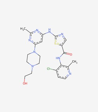 Cc1nc(Nc2ncc(C(=O)Nc3c(Cl)ccnc3C)s2)cc(N2CCN(CCO)CC2)n1